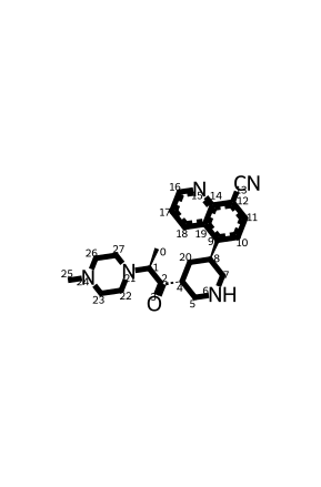 C[C@@H](C(=O)[C@H]1CNC[C@H](c2ccc(C#N)c3ncccc23)C1)N1CCN(C)CC1